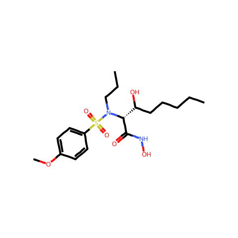 CCCCCC(O)[C@H](C(=O)NO)N(CCC)S(=O)(=O)c1ccc(OC)cc1